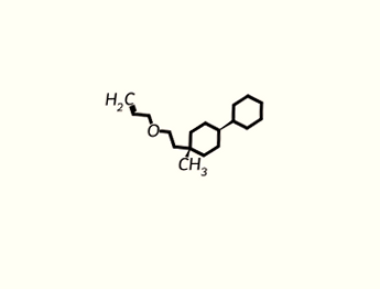 C=CCOCC[C@]1(C)CC[C@@H](C2CCCCC2)CC1